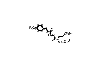 COCCN(CC(=O)O)C(=O)CNC(=O)/C=C/c1ccc(C(F)(F)F)cc1